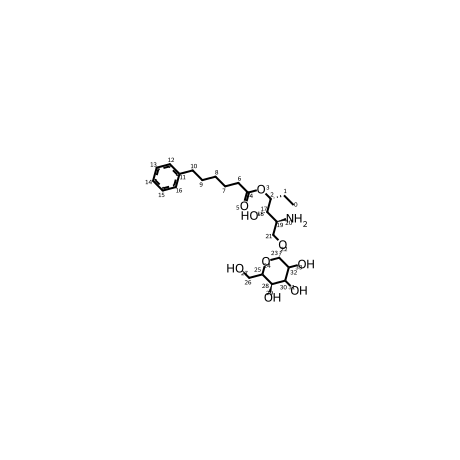 CC[C@@H](OC(=O)CCCCCc1ccccc1)[C@@H](O)[C@@H](N)CO[C@H]1OC(CO)[C@H](O)C(O)C1O